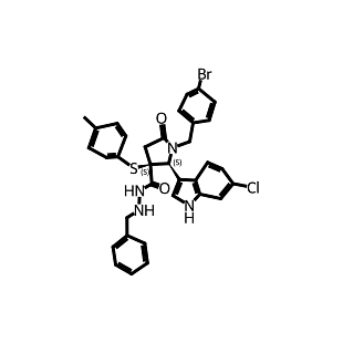 Cc1ccc(S[C@@]2(C(=O)NNCc3ccccc3)CC(=O)N(Cc3ccc(Br)cc3)[C@H]2c2c[nH]c3cc(Cl)ccc23)cc1